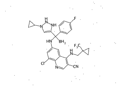 BC(Nc1cc(Cl)c2ncc(C#N)c(NCC3(C(F)(F)F)CC3)c2c1)(C1=CN(C2CC2)NN1)c1ccc(F)cc1